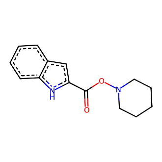 O=C(ON1CCCCC1)c1cc2ccccc2[nH]1